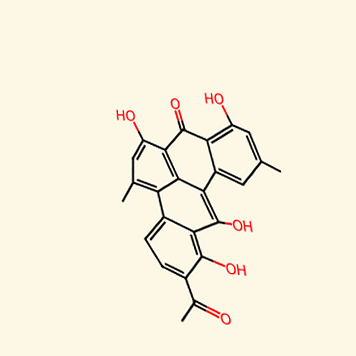 CC(=O)c1ccc2c(c1O)c(O)c1c3c(c(O)cc(C)c32)C(=O)c2c(O)cc(C)cc2-1